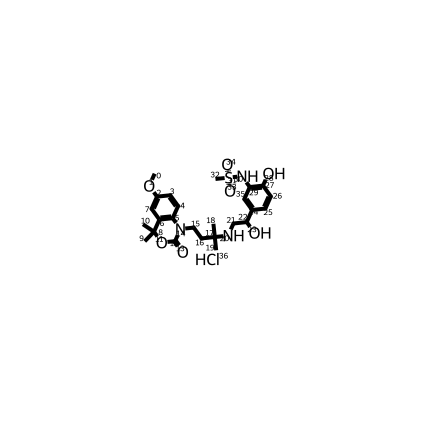 COc1ccc2c(c1)C(C)(C)OC(=O)N2CCC(C)(C)NCC(O)c1ccc(O)c(NS(C)(=O)=O)c1.Cl